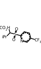 CC(C)C(C(=O)O)S(=O)(=O)c1ccc(C(F)(F)F)cn1